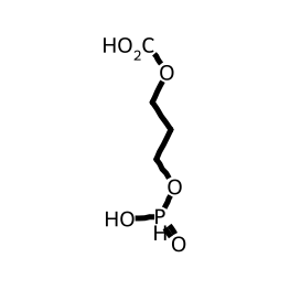 O=C(O)OCCCO[PH](=O)O